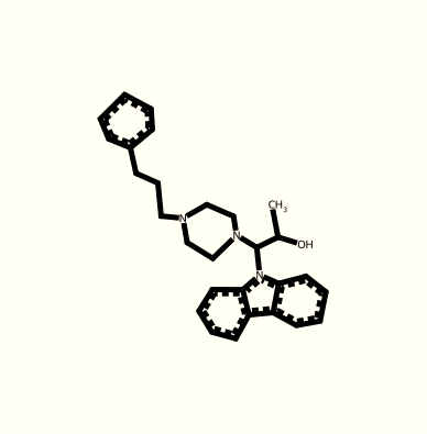 CC(O)C(N1CCN(CCCc2ccccc2)CC1)n1c2ccccc2c2ccccc21